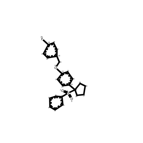 O=S(=O)(c1ccccc1)C1(c2ccc(OCc3ccc(F)cc3)cc2)CCCC1